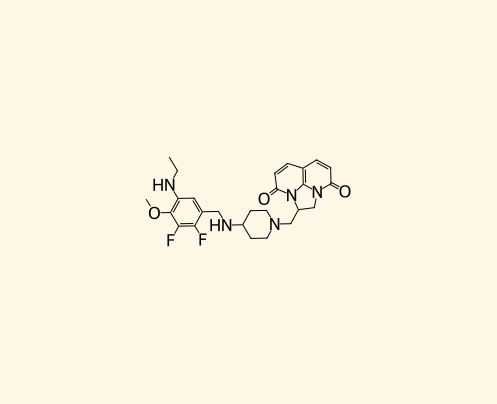 CCNc1cc(CNC2CCN(CC3Cn4c(=O)ccc5ccc(=O)n3c54)CC2)c(F)c(F)c1OC